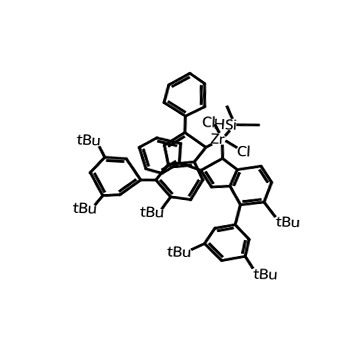 C[SiH](C)[Zr]([Cl])([Cl])([CH]1C(c2ccccc2)=Cc2c1ccc(C(C)(C)C)c2-c1cc(C(C)(C)C)cc(C(C)(C)C)c1)[CH]1C(c2ccccc2)=Cc2c1ccc(C(C)(C)C)c2-c1cc(C(C)(C)C)cc(C(C)(C)C)c1